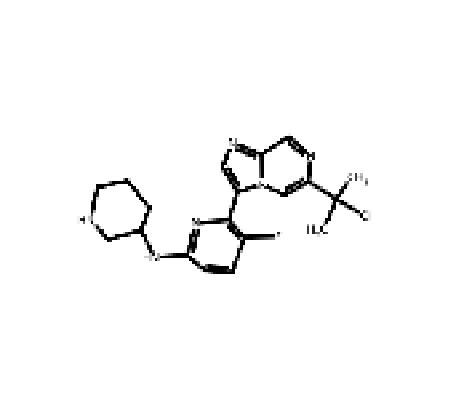 CC(C)(O)c1cn2c(-c3nc(NC4CCCNC4)ccc3F)cnc2cn1